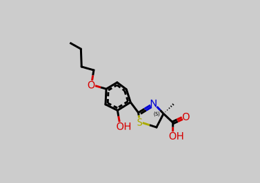 CCCCOc1ccc(C2=N[C@@](C)(C(=O)O)CS2)c(O)c1